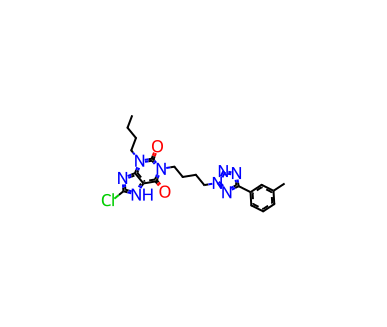 CCCCn1c(=O)n(CCCCn2nnc(-c3cccc(C)c3)n2)c(=O)c2[nH]c(Cl)nc21